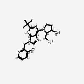 CC(C)(C)c1nc(N2CCC(O)C2CO)c2ncn(Cc3ncccc3Cl)c2n1